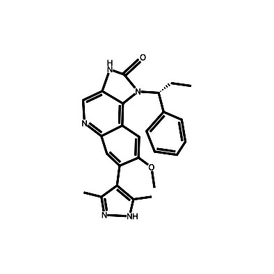 CC[C@H](c1ccccc1)n1c(=O)[nH]c2cnc3cc(-c4c(C)n[nH]c4C)c(OC)cc3c21